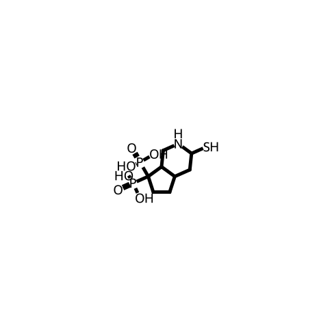 O=P(O)(O)C1(P(=O)(O)O)CCC2CC(S)NCC21